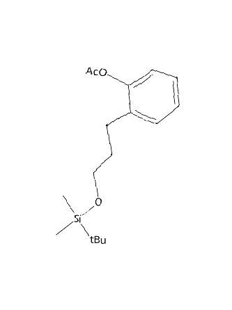 CC(=O)Oc1ccccc1CCCO[Si](C)(C)C(C)(C)C